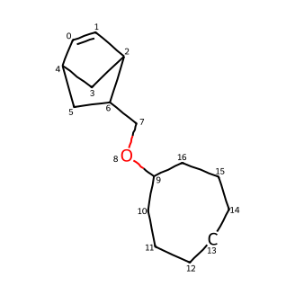 C1=CC2CC1CC2COC1CCCCCCC1